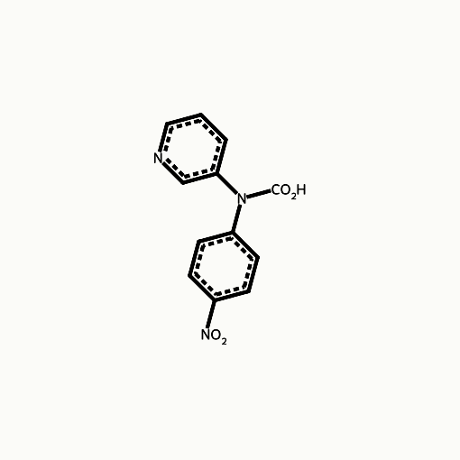 O=C(O)N(c1ccc([N+](=O)[O-])cc1)c1cccnc1